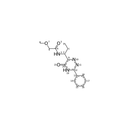 CCC(NC(=O)COC)c1nnc(-c2ccccc2)[nH]c1=O